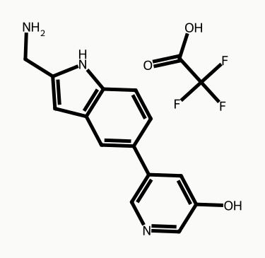 NCc1cc2cc(-c3cncc(O)c3)ccc2[nH]1.O=C(O)C(F)(F)F